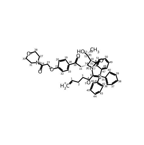 C=CCCC(=O)C(N1C(=O)[C@H]([C@@H](C)O)[C@H]1CC(=O)c1ccc(OCC(=O)N2CCOCC2)cc1)=P(c1ccccc1)(c1ccccc1)c1ccccc1